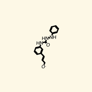 [O]C/C=C/c1cccc(NC(=O)NNc2ccccc2)c1